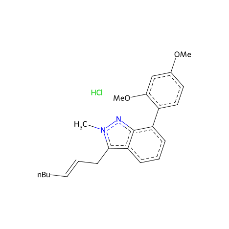 CCCCC=CCc1c2cccc(-c3ccc(OC)cc3OC)c2nn1C.Cl